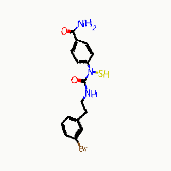 NC(=O)c1ccc(N(S)C(=O)NCCc2cccc(Br)c2)cc1